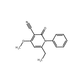 CCc1cc(OC)c(C#N)c(=O)n1-c1ccccc1